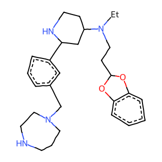 CCN(CCC1Oc2ccccc2O1)C1CCNC(c2cccc(CN3CCCNCC3)c2)C1